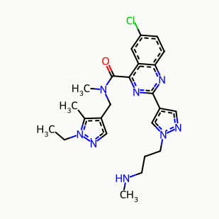 CCn1ncc(CN(C)C(=O)c2nc(-c3cnn(CCCNC)c3)nc3ccc(Cl)cc23)c1C